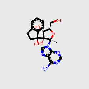 C[C@@]1(n2cnc3c(N)ncnc32)O[C@H](CO)[C@@H](O)[C@]1(O)C1(O)CCc2ccccc21